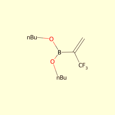 C=C(B(OCCCC)OCCCC)C(F)(F)F